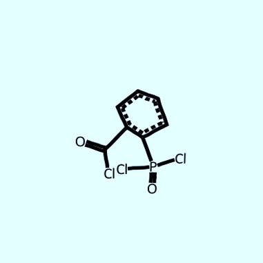 O=C(Cl)c1ccccc1P(=O)(Cl)Cl